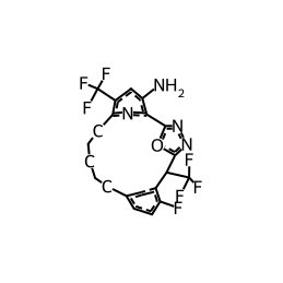 Nc1cc(C(F)(F)F)c2nc1-c1nnc(o1)C(C(F)(F)F)c1cc(ccc1F)CCCCC2